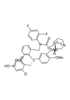 COc1ccc([C@H](Cc2c(Cl)c[n+](O)cc2Cl)c2c(CN(C(=O)O[C@H]3CN4CCC3CC4)c3ccc(F)cc3F)cccc2C(=O)[O-])cc1OC